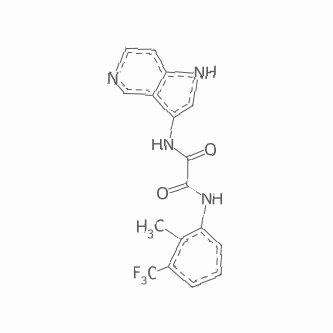 Cc1c(NC(=O)C(=O)Nc2c[nH]c3ccncc23)cccc1C(F)(F)F